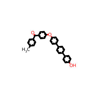 Cc1ccc(C(=O)c2ccc(Oc3ccc(-c4ccc(-c5ccc(O)cc5)cc4)cc3)cc2)cc1